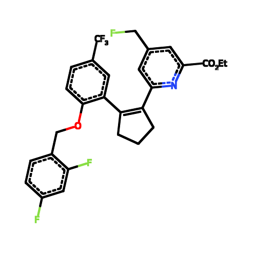 CCOC(=O)c1cc(CF)cc(C2=C(c3cc(C(F)(F)F)ccc3OCc3ccc(F)cc3F)CCC2)n1